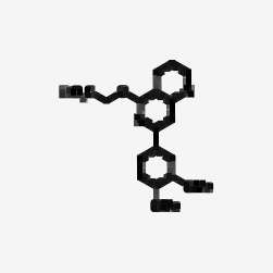 CCOC(=O)COc1nc(-c2ccc(OC)c(OC)c2)cc2ncccc12